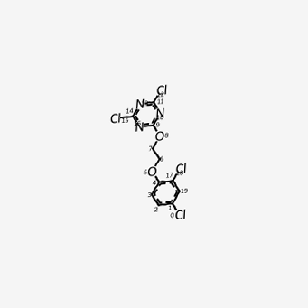 Clc1ccc(OCCOc2nc(Cl)nc(Cl)n2)c(Cl)c1